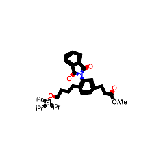 COC(=O)CCc1ccc(CCCCO[Si](C(C)C)(C(C)C)C(C)C)c(N2C(=O)c3ccccc3C2=O)c1